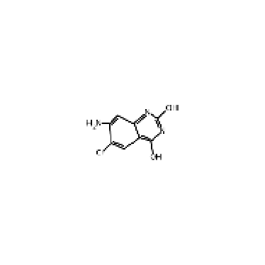 Nc1cc2nc(O)nc(O)c2cc1Cl